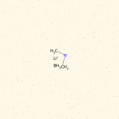 B.C[N-]C.[Li+]